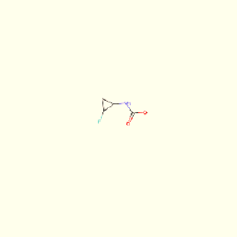 [O]C(=O)NC1CC1F